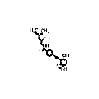 CCN(CC)CC(O)CNC(=O)c1ccc(C#Cc2c(O)ccc3[nH]cnc23)cc1